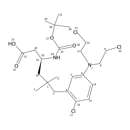 CC(C)(Cc1cc(N(CCCl)CCCl)ccc1Cl)C[C@@H](CC(=O)O)NC(=O)OC(C)(C)C